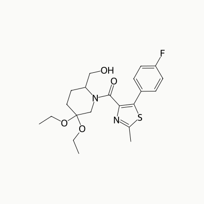 CCOC1(OCC)CCC(CO)N(C(=O)c2nc(C)sc2-c2ccc(F)cc2)C1